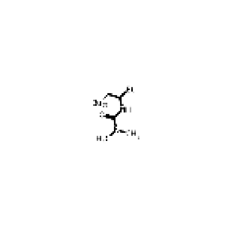 CCC(C[C@@H](C)CC)NC(=O)N(C)C